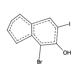 Oc1c(I)cc2ccccc2c1Br